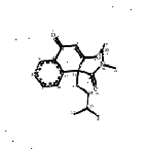 COC1=CC(=O)c2ccccc2C1(CCC(C)C)C(=O)N(C)C